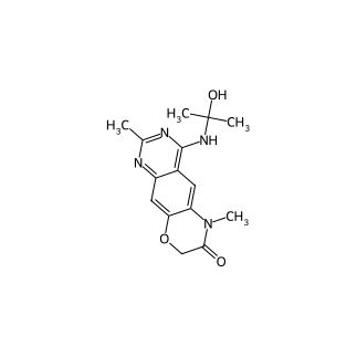 Cc1nc(NC(C)(C)O)c2cc3c(cc2n1)OCC(=O)N3C